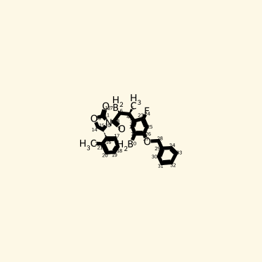 Bc1cc([C@H](C)[C@@H](B)C(=O)N2C(=O)OC[C@H]2c2ccccc2C)c(F)cc1OCc1ccccc1